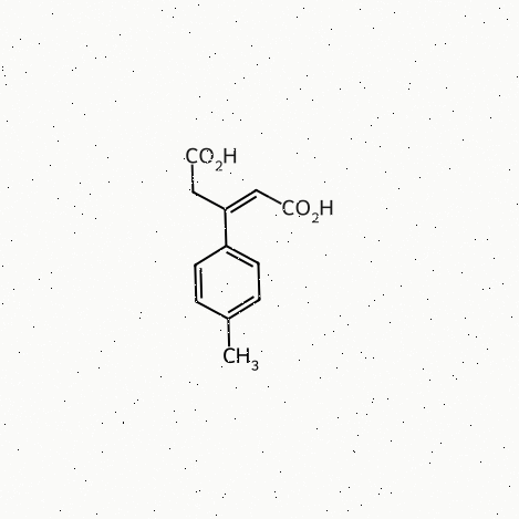 Cc1ccc(/C(=C\C(=O)O)CC(=O)O)cc1